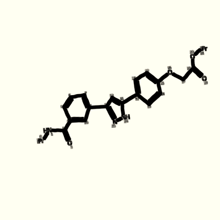 CC(C)NC(=O)c1cccc(-c2cc(-c3ccc(OCC(=O)OC(C)C)cc3)[nH]n2)c1